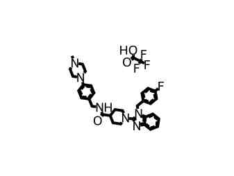 CN1CCN(c2ccc(CNC(=O)C3CCN(c4nc5ccccc5n4Cc4ccc(F)cc4)CC3)cc2)CC1.O=C(O)C(F)(F)F